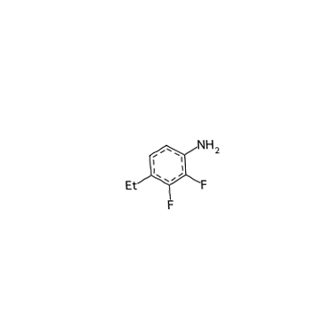 CCc1ccc(N)c(F)c1F